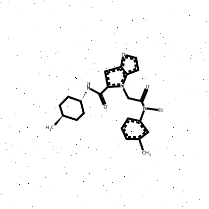 CCN(C(=O)Cn1c(C(=O)N[C@H]2CC[C@H](C)CC2)cc2occc21)c1cccc(C)c1